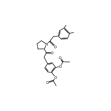 CC(=O)Oc1ccc(CC(=O)C2CCCN2C(=O)Cc2ccc(C)c(C)c2)cc1OC(C)=O